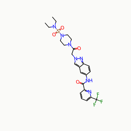 CCN(CC)S(=O)(=O)N1CCN(C(=O)Cn2cc3cc(NC(=O)c4cccc(C(F)(F)F)n4)ccc3n2)CC1